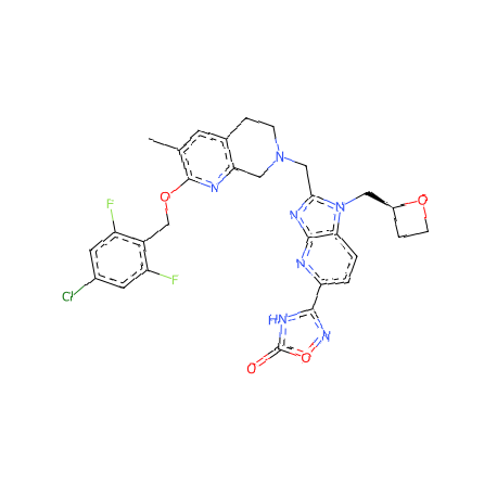 Cc1cc2c(nc1OCc1c(F)cc(Cl)cc1F)CN(Cc1nc3nc(-c4noc(=O)[nH]4)ccc3n1C[C@@H]1CCO1)CC2